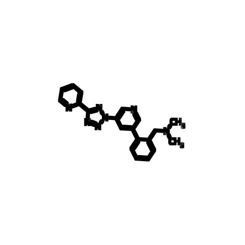 CN(C)Cc1ccccc1-c1cncc(-n2nnc(-c3ccccn3)n2)c1